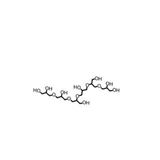 OCC(O)COCC(O)COCC(CO)OCC(O)COC(CO)COCC(O)CO